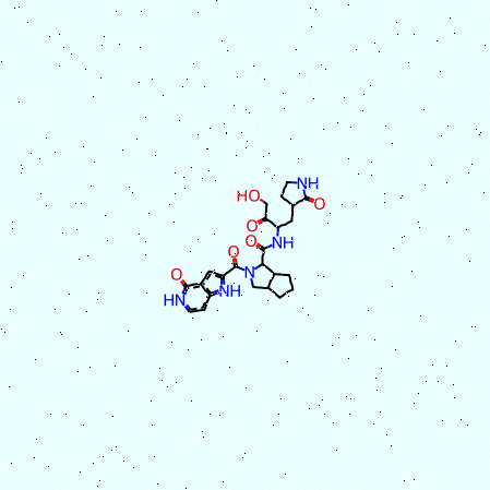 O=C1NCCC1CC(NC(=O)C1C2CCCC2CN1C(=O)c1cc2c(=O)[nH]ccc2[nH]1)C(=O)CO